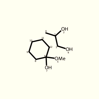 CC(O)CO.COC1(O)CCCCC1